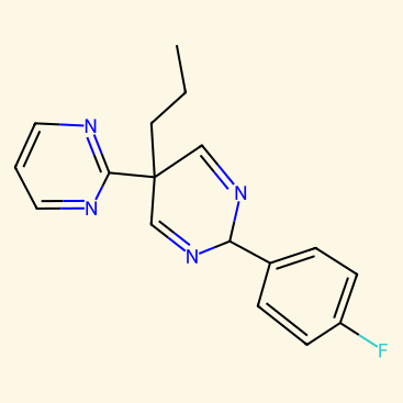 CCCC1(c2ncccn2)C=NC(c2ccc(F)cc2)N=C1